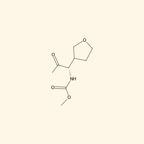 COC(=O)N[C@H](C(C)=O)C1CCOC1